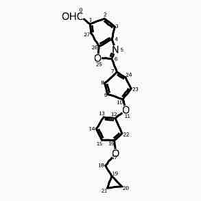 O=Cc1ccc2nc(-c3ccc(Oc4cccc(OCC5CC5)c4)cc3)oc2c1